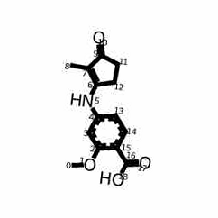 COc1cc(NC2=C(C)C(=O)CC2)ccc1C(=O)O